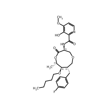 CCCCCO[C@@H]1[C@@H](Cc2ccc(F)cc2)COC[C@H](NC(=O)c2nccc(OC)c2O)C(=O)O[C@H]1C